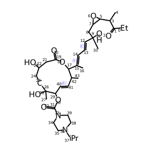 CCC(=O)C(C)C1OC1CC(C)(O)/C=C/C=C(\C)C1OC(=O)CC(O)CCC(C)(O)C(OC(=O)N2CCN(C(C)C)CC2)/C=C/C1C